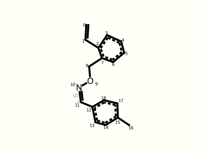 C=Cc1ccccc1CO/N=[C]\c1ccc(C)cc1